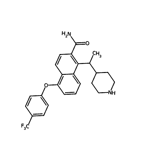 CC(c1c(C(N)=O)ccc2c(Oc3ccc(C(F)(F)F)cc3)cccc12)C1CCNCC1